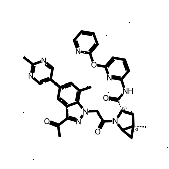 CC(=O)c1nn(CC(=O)N2C3C[C@]3(C)C[C@H]2C(=O)Nc2cccc(Oc3ccccn3)n2)c2c(C)cc(-c3cnc(C)nc3)cc12